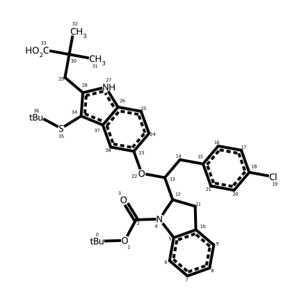 CC(C)(C)OC(=O)N1c2ccccc2CC1C(Cc1ccc(Cl)cc1)Oc1ccc2[nH]c(CC(C)(C)C(=O)O)c(SC(C)(C)C)c2c1